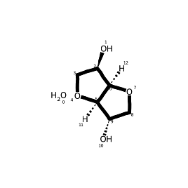 O.O[C@@H]1CO[C@H]2[C@@H]1OC[C@@H]2O